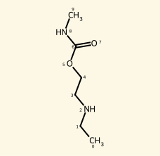 CCNCCOC(=O)NC